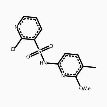 COc1nc(NS(=O)(=O)c2cccnc2Cl)ccc1C